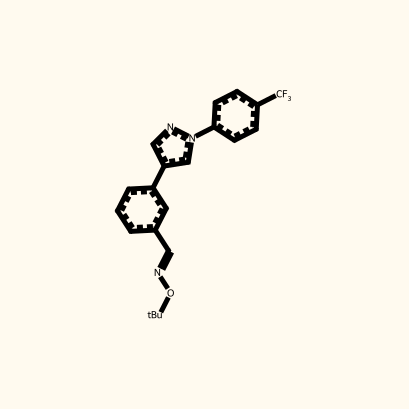 CC(C)(C)ON=Cc1cccc(-c2cnn(-c3ccc(C(F)(F)F)cc3)c2)c1